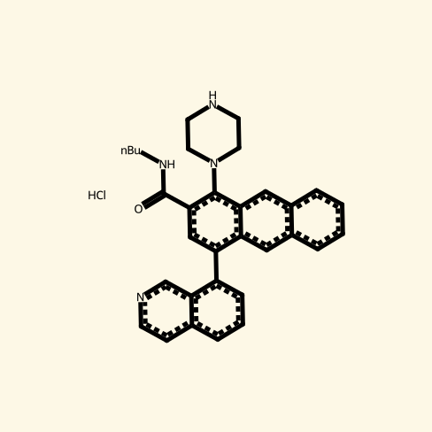 CCCCNC(=O)c1cc(-c2cccc3ccncc23)c2cc3ccccc3cc2c1N1CCNCC1.Cl